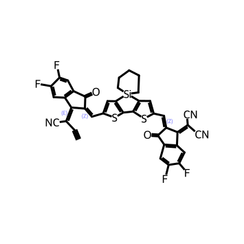 C#C/C(C#N)=C1\C(=C\c2cc3c(s2)-c2sc(/C=C4\C(=O)c5cc(F)c(F)cc5C4=C(C#N)C#N)cc2[Si]32CCCCC2)C(=O)c2cc(F)c(F)cc21